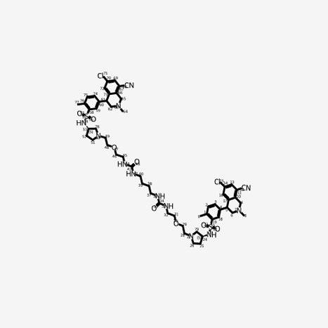 Cc1ccc(C2CN(C)Cc3c(C#N)cc(Cl)cc32)cc1S(=O)(=O)N[C@H]1CCN(CCOCCNC(=O)NCCCCNC(=O)NCCOCCN2CC[C@H](NS(=O)(=O)c3cc(C4CN(C)Cc5c(C#N)cc(Cl)cc54)ccc3C)C2)C1